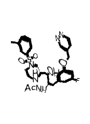 CC(=O)N[C@@H](Cc1cc(F)cc(OCc2ccnnc2)c1)[C@H](O)[C@H]1CN(S(=O)(=O)c2cccc(C)c2)CCN1